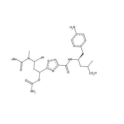 CCCCC(=O)N(C)C(CC(OC(N)=O)c1nc(C(=O)N[C@@H](Cc2ccc(N)cc2)CC(C)C(=O)O)cs1)C(C)C